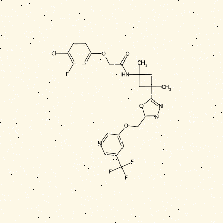 CC1(NC(=O)COc2ccc(Cl)c(F)c2)CC(C)(c2nnc(COc3cncc(C(F)(F)F)c3)o2)C1